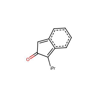 CC(C)C1=c2ccccc2=CC1=O